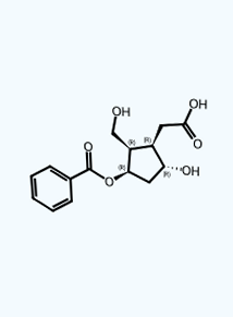 O=C(O)C[C@@H]1[C@H](CO)[C@H](OC(=O)c2ccccc2)C[C@H]1O